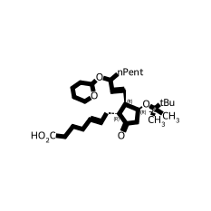 CCCCCC(C=C[C@H]1[C@H](O[Si](C)(C)C(C)(C)C)CC(=O)[C@@H]1CC=CCCCC(=O)O)OC1CCCCO1